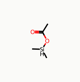 CC(=O)O[SiH](C)C